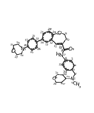 CN(Cc1ccc(NC(=O)C2=Cc3cc(-c4ccc(N5CCOCC5)cc4)ccc3OCC2)cc1)C1CCOCC1